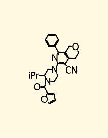 CC(C)C1CN(c2nc(-c3ccccc3)c3c(c2C#N)CCOC3)CCN1C(=O)c1ccco1